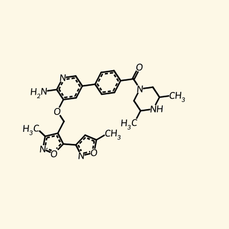 Cc1cc(-c2onc(C)c2COc2cc(-c3ccc(C(=O)N4CC(C)NC(C)C4)cc3)cnc2N)no1